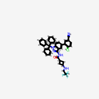 N#Cc1ccc(Cl)c(-c2ccc3c(c2)c(NC(=O)C2CC(NCC(F)(F)F)C2)nn3C(c2ccccc2)(c2ccccc2)c2ccccc2)c1